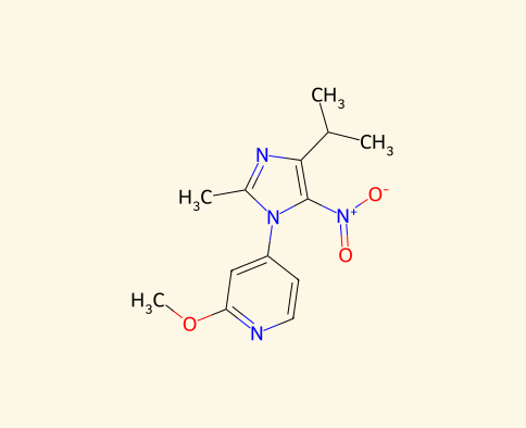 COc1cc(-n2c(C)nc(C(C)C)c2[N+](=O)[O-])ccn1